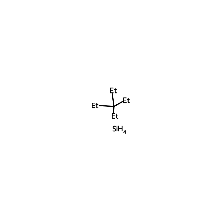 CCC(CC)(CC)CC.[SiH4]